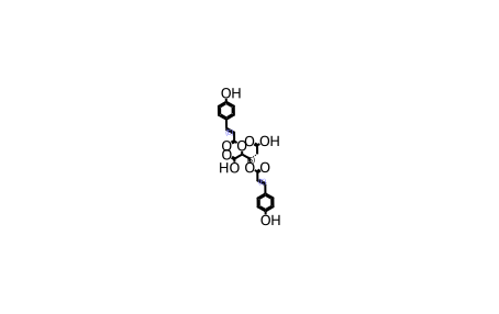 O=C(O)C[C@H](OC(=O)/C=C/c1ccc(O)cc1)C(OC(=O)/C=C/c1ccc(O)cc1)C(=O)O